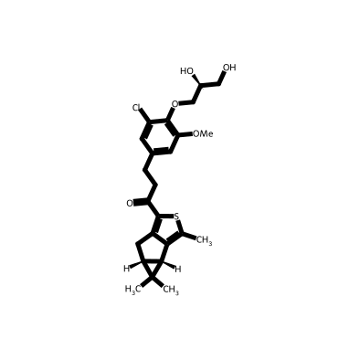 COc1cc(CCC(=O)c2sc(C)c3c2C[C@@H]2[C@H]3C2(C)C)cc(Cl)c1OC[C@@H](O)CO